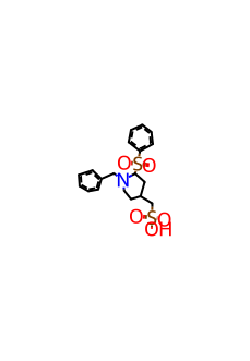 O=S(=O)(O)CC1CCN(Cc2ccccc2)C(S(=O)(=O)c2ccccc2)C1